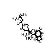 CC(C)CC(=O)N1CCC(C(C)(C)C(O)c2cc(Cl)cc3cn[nH]c23)CC1